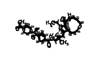 CCn1nc(CC(C)(C)COC(=O)c2ccc(S(=O)(=O)N3CCN(C(C)=O)CC3)cc2)c2c1C(=O)NCCCOCCC2